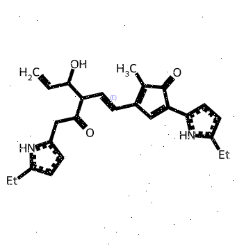 C=CC(O)C(/C=C/C1=C(C)C(=O)C(c2ccc(CC)[nH]2)=C1)C(=O)Cc1ccc(CC)[nH]1